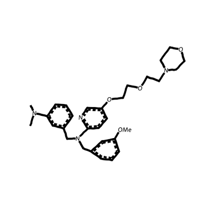 COc1cccc(CN(Cc2cccc(N(C)C)c2)c2ccc(OCCOCCN3CCOCC3)cn2)c1